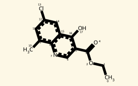 CCOC(=O)c1cnc2c(C)cc(Cl)cc2c1O